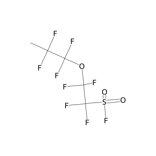 CC(F)(F)C(F)(F)OC(F)(F)C(F)(F)S(=O)(=O)F